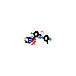 Cc1cc(NC(=O)c2ccc(F)c(C(F)(F)C(=O)N3C4COCC3CN(S(C)(=O)=O)C4)c2)ccc1F